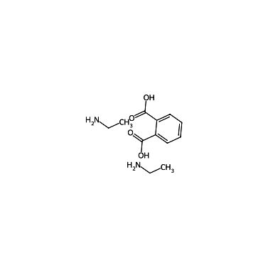 CCN.CCN.O=C(O)c1ccccc1C(=O)O